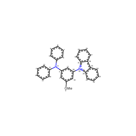 COc1cc(N(c2ccccc2)c2ccccc2)cc(-n2c3ccccc3c3ccccc32)c1